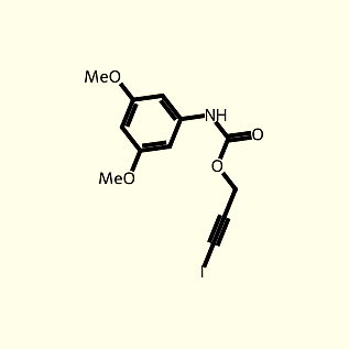 COc1cc(NC(=O)OCC#CI)cc(OC)c1